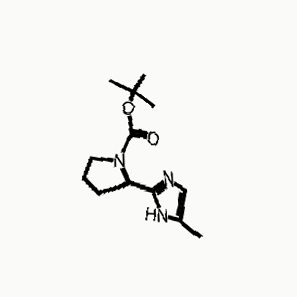 Cc1cnc(C2CCCN2C(=O)OC(C)(C)C)[nH]1